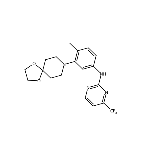 Cc1ccc(Nc2nccc(C(F)(F)F)n2)cc1N1CCC2(CC1)OCCO2